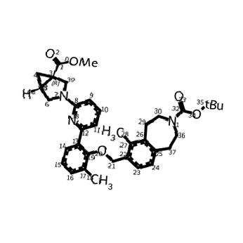 COC(=O)[C@]12C[C@H]1CN(c1cccc(-c3cccc(C)c3OCc3ccc4c(c3C)CCN(C(=O)OC(C)(C)C)CC4)n1)C2